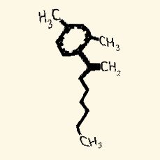 C=C(CCCCCC)c1ccc(C)cc1C